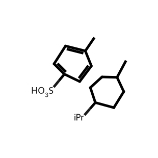 CC1CCC(C(C)C)CC1.Cc1ccc(S(=O)(=O)O)cc1